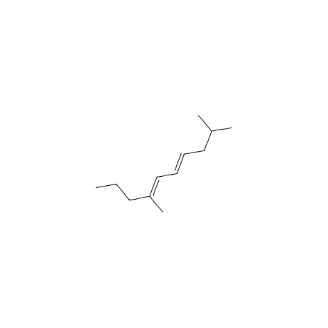 CCCC(C)=CC=CCC(C)C